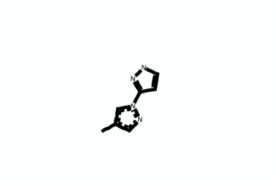 Cc1cnn(C2=N[N]C=C2)c1